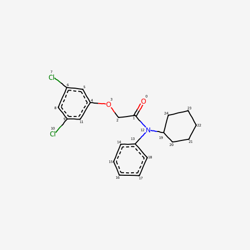 O=C(COc1cc(Cl)cc(Cl)c1)N(c1ccccc1)C1CCCCC1